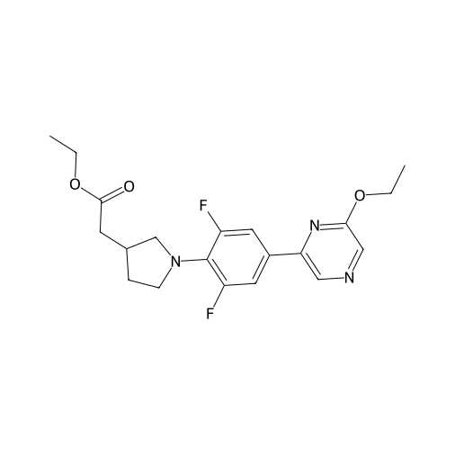 CCOC(=O)CC1CCN(c2c(F)cc(-c3cncc(OCC)n3)cc2F)C1